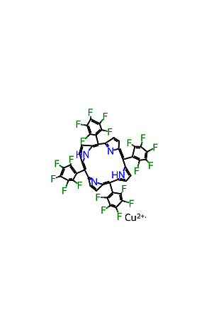 Fc1c(F)c(F)c(-c2c3nc(c(-c4c(F)c(F)c(F)c(F)c4F)c4ccc([nH]4)c(-c4c(F)c(F)c(F)c(F)c4F)c4nc(c(-c5c(F)c(F)c(F)c(F)c5F)c5ccc2[nH]5)C=C4)C=C3)c(F)c1F.[Cu+2]